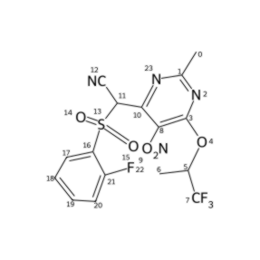 Cc1nc(OC(C)C(F)(F)F)c([N+](=O)[O-])c(C(C#N)S(=O)(=O)c2ccccc2F)n1